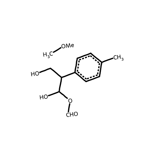 COC.Cc1ccc(C(CO)C(O)OC=O)cc1